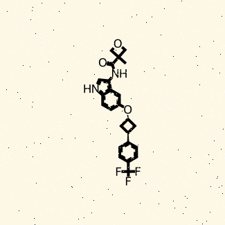 CC1(C(=O)Nc2c[nH]c3ccc(O[C@H]4C[C@H](c5ccc(C(F)(F)F)cc5)C4)cc23)COC1